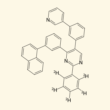 [2H]c1c([2H])c([2H])c(-c2ncc(-c3cccc(-c4cccnc4)c3)c(-c3cccc(-c4cccc5ccccc45)c3)n2)c([2H])c1[2H]